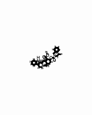 CCCN(Cc1ccccc1)C(=O)O[C@H]1CC[C@H]2CN3CCc4c([nH]c5ccccc45)[C@@H]3C[C@@H]2[C@H]1C(=O)OC